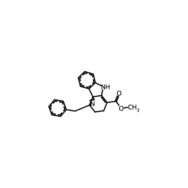 COC(=O)C1=C2Nc3ccccc3C23CCN(Cc2ccccc2)C3CC1